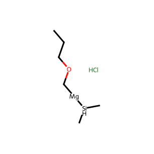 CCCO[CH2][Mg][SiH](C)C.Cl